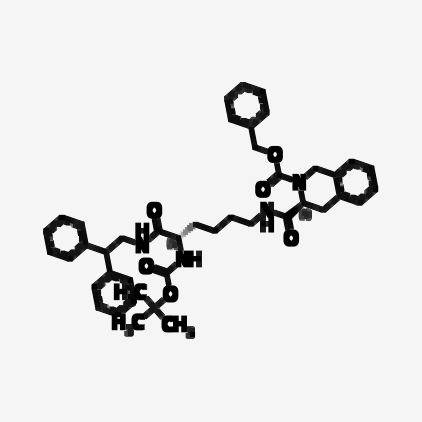 CC(C)(C)OC(=O)N[C@@H](CCCCNC(=O)[C@@H]1Cc2ccccc2CN1C(=O)OCc1ccccc1)C(=O)NCC(c1ccccc1)c1ccccc1